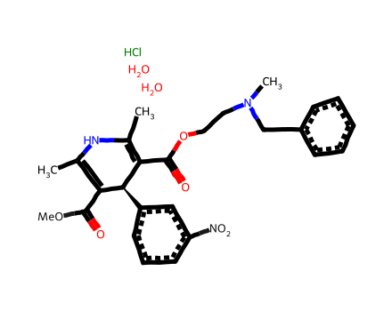 COC(=O)C1=C(C)NC(C)=C(C(=O)OCCN(C)Cc2ccccc2)[C@H]1c1cccc([N+](=O)[O-])c1.Cl.O.O